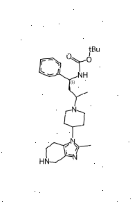 Cc1nc2c(n1C1CCN(C(C)C[C@H](NC(=O)OC(C)(C)C)c3ccccc3)CC1)CCNC2